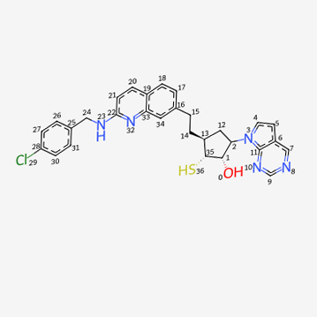 O[C@H]1C(n2ccc3cncnc32)C[C@H](CCc2ccc3ccc(NCc4ccc(Cl)cc4)nc3c2)[C@H]1S